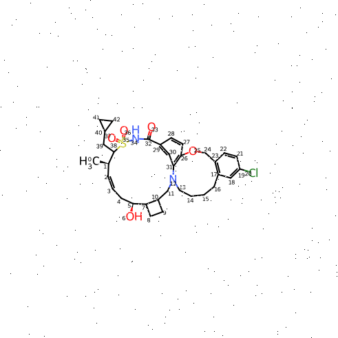 C[C@@H]1/C=C\C[C@H](O)C2CCC2CN2CCCCc3cc(Cl)ccc3COc3ccc(cc32)C(=O)NS(=O)(=O)C1CC1CC1